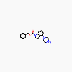 O=C(OCc1ccccc1)N1CCc2c(N3CCNCC3)cccc21